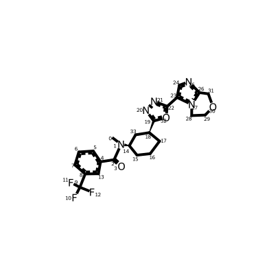 CN(C(=O)c1cccc(C(F)(F)F)c1)[C@@H]1CCC[C@H](c2nnc(-c3cnc4n3CCOC4)o2)C1